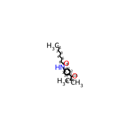 CCCCCCCC(=O)Nc1ccc(C(=O)C(C)C)cc1